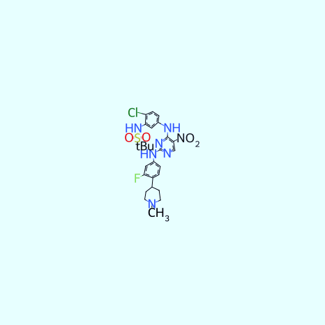 CN1CCC(c2ccc(Nc3ncc([N+](=O)[O-])c(Nc4ccc(Cl)c(NS(=O)(=O)C(C)(C)C)c4)n3)cc2F)CC1